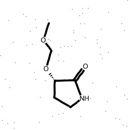 COCO[C@H]1CCNC1=O